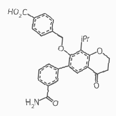 CC(C)c1c2c(cc(-c3cccc(C(N)=O)c3)c1OCc1ccc(C(=O)O)cc1)C(=O)CCO2